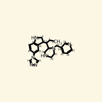 CCC(C1CNc2ccc(-n3cnnc3)cc21)C1CNCCN1Cc1cccnc1